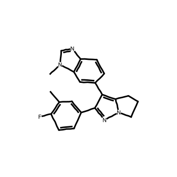 Cc1cc(-c2nn3c(c2-c2ccc4ncn(C)c4c2)CCC3)ccc1F